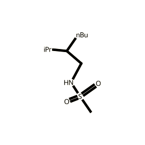 CCCCC(CNS(C)(=O)=O)C(C)C